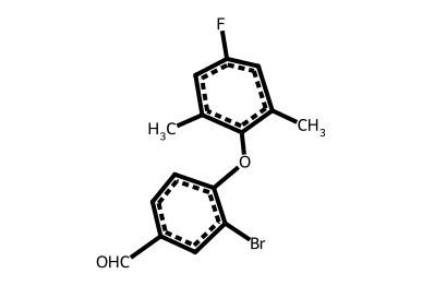 Cc1cc(F)cc(C)c1Oc1ccc(C=O)cc1Br